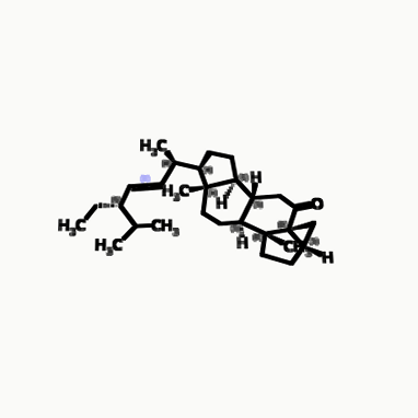 CC[C@H](/C=C/[C@@H](C)[C@H]1CC[C@H]2[C@@H]3CC(=O)[C@]45C[C@@H]4CC[C@]5(C)[C@H]3CC[C@]12C)C(C)C